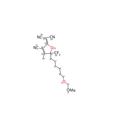 COCOCCCCCCC1(C(F)(F)F)OC(=C(C#N)C#N)C(C#N)=C1C